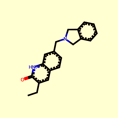 CCc1cc2ccc(CN3Cc4ccccc4C3)cc2[nH]c1=O